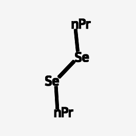 CCC[Se][Se]CCC